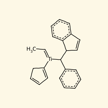 C[CH]=[Ti]([C]1=CC=CC1)[CH](c1ccccc1)C1C=Cc2ccccc21